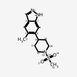 Cc1cc2cn[nH]c2cc1C1CCN(S(C)(=O)=O)CC1